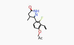 C=Cc1c(OCC(C)=O)ccc(C2=NNC(=O)CC2C)c1F